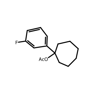 CC(=O)OC1(c2cccc(F)c2)CCCCCC1